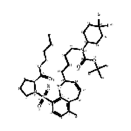 CCCCOC(=O)[C@@H]1CCCN1S(=O)(=O)c1ccc(C)c2c1OC(CCCCN(C(=O)OC(C)(C)C)C1CCC(F)(F)CC1)C=CC2